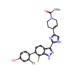 CCc1cc(O)ccc1-c1ccc2c(-c3nc(C4=CCN(C(=O)OC)CC4)c[nH]3)n[nH]c2c1F